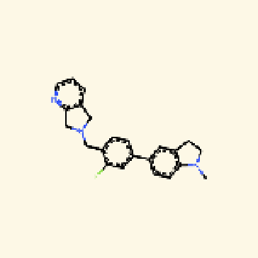 CN1CCc2cc(-c3ccc(CN4Cc5cccnc5C4)c(F)c3)ccc21